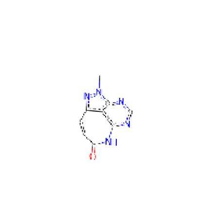 Cn1nc2c3c(ncnc31)NC(=O)C=C2